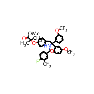 COC(=O)C(C)(C)Oc1ccc(CC(NC(=O)c2ccc(F)c(C(F)(F)F)c2)(c2cccc(OC(F)(F)F)c2)c2cccc(OC(F)(F)F)c2)cc1